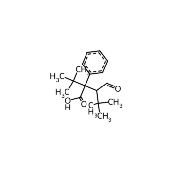 CC(C)(C)C(C=O)C(C(=O)O)(c1ccccc1)C(C)(C)C